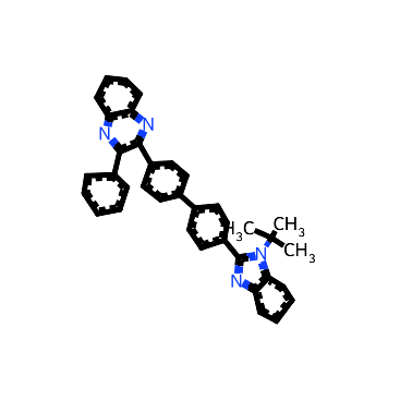 CC(C)(C)n1c(-c2ccc(-c3ccc(-c4nc5ccccc5nc4-c4ccccc4)cc3)cc2)nc2ccccc21